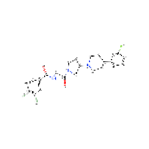 O=C(NCC(=O)N1CCC(N2CCC(c3cccc(F)c3)CC2)C1)c1ccc(Cl)c(Cl)c1